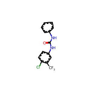 O=C(Nc1cc[c]cc1)Nc1ccc(Cl)c(C(F)(F)F)c1